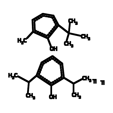 CC(C)c1cccc(C(C)C)c1O.Cc1cccc(C(C)(C)C)c1O.[Ti].[Ti]